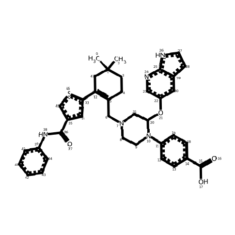 CC1(C)CCC(CN2CCN(c3ccc(C(=O)O)cc3)C(Oc3cnc4[nH]ccc4c3)C2)=C(c2cc(C(=O)Nc3ccccc3)cs2)C1